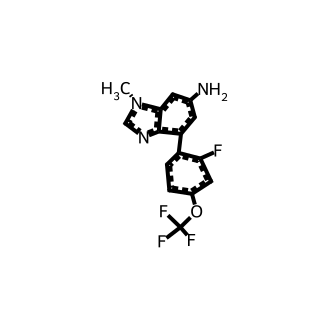 Cn1cnc2c(-c3ccc(OC(F)(F)F)cc3F)cc(N)cc21